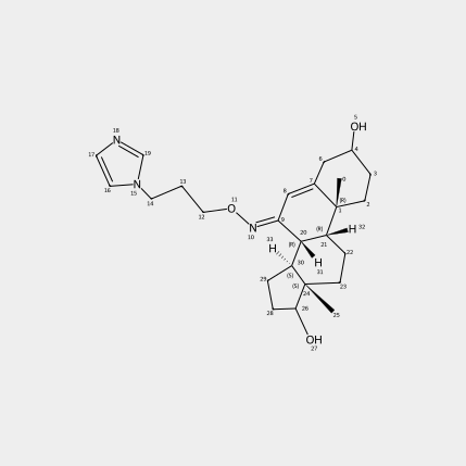 C[C@]12CCC(O)CC1=CC(=NOCCCn1ccnc1)[C@@H]1[C@H]2CC[C@]2(C)C(O)CC[C@@H]12